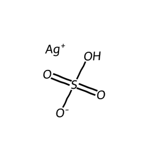 O=S(=O)([O-])O.[Ag+]